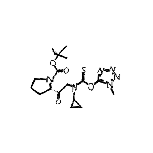 Cn1nnnc1OC(=S)N(CC(=O)[C@@H]1CCCN1C(=O)OC(C)(C)C)C1CC1